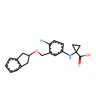 O=C(O)C1(Nc2ccc(Br)c(COC3Cc4ccccc4C3)c2)CC1